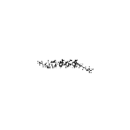 C=CCCC1CCC(C2CCC(c3ccc(-c4ccc(-c5ccc(CCCCCCCCC)c(F)c5F)cc4)c(F)c3)CC2)CC1